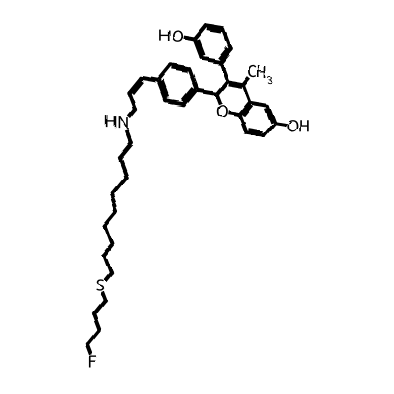 CC1=C(c2cccc(O)c2)C(c2ccc(/C=C\CNCCCCCCCCCSCCCCF)cc2)Oc2ccc(O)cc21